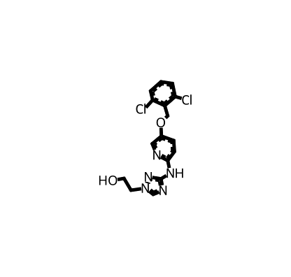 OCCn1cnc(Nc2ccc(OCc3c(Cl)cccc3Cl)cn2)n1